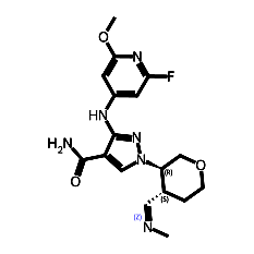 C/N=C\[C@H]1CCOC[C@@H]1n1cc(C(N)=O)c(Nc2cc(F)nc(OC)c2)n1